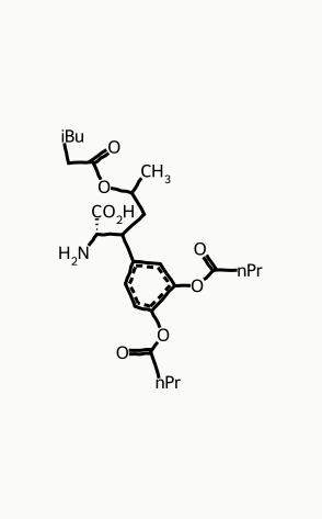 CCCC(=O)Oc1ccc(C(CC(C)OC(=O)CC(C)CC)[C@H](N)C(=O)O)cc1OC(=O)CCC